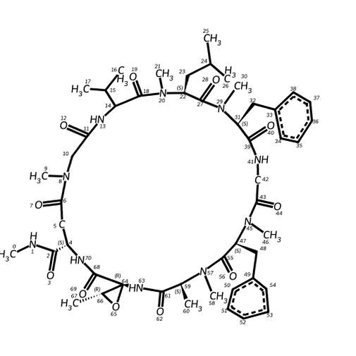 CNC(=O)[C@@H]1CC(=O)N(C)CC(=O)NC(C(C)C)C(=O)N(C)[C@@H](CC(C)C)C(=O)N(C)[C@@H](Cc2ccccc2)C(=O)NCC(=O)N(C)[C@@H](Cc2ccccc2)C(=O)N(C)[C@@H](C)C(=O)N[C@]2(O[C@@H]2C)C(=O)N1